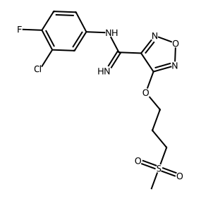 CS(=O)(=O)CCCOc1nonc1C(=N)Nc1ccc(F)c(Cl)c1